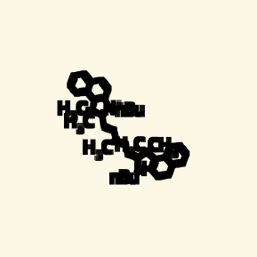 CCCCN1/C(=C/C=C(C)/C=C/C2=[N+](CCCC)c3ccc4ccccc4c3C2(C)C)C(C)(C)c2c1ccc1ccccc21